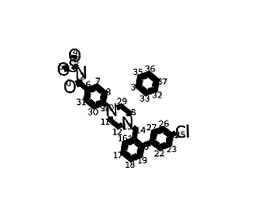 O=C(N=S(=O)=O)c1ccc(N2CCN(Cc3ccccc3-c3ccc(Cl)cc3)CC2)cc1.c1ccccc1